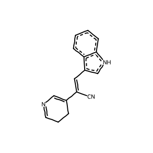 N#C/C(=C\c1c[nH]c2ccccc12)C1=CN=CCC1